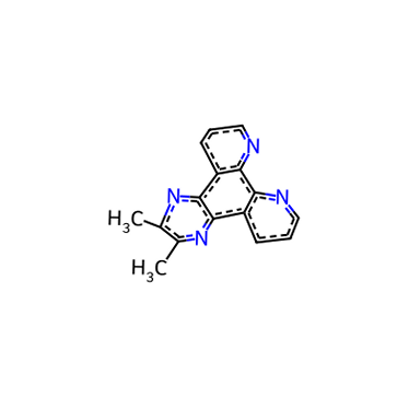 Cc1nc2c3cccnc3c3ncccc3c2nc1C